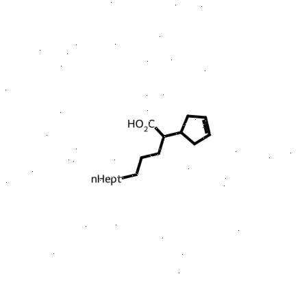 CCCCCCCCCCC(C(=O)O)C1CC=CC1